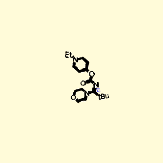 CCN1CCC(OC(=O)/N=C(\N2CCOCC2)C(C)(C)C)CC1